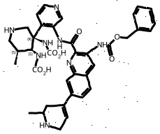 CC1CC(c2ccc3cc(NC(=O)OCc4ccccc4)c(C(=O)Nc4cnccc4[C@@]4(NC(=O)O)CNC[C@H](C)[C@@H]4NC(=O)O)nc3c2)=CCN1